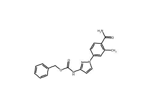 Cc1cc(-n2ccc(NC(=O)OCc3ccccc3)n2)ccc1C(N)=O